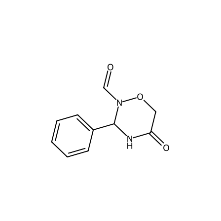 O=CN1OCC(=O)NC1c1ccccc1